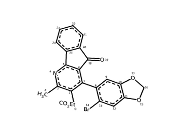 CCOC(=O)c1c(C)nc2c(c1-c1cc3c(cc1Br)OCO3)C(=O)c1ccccc1-2